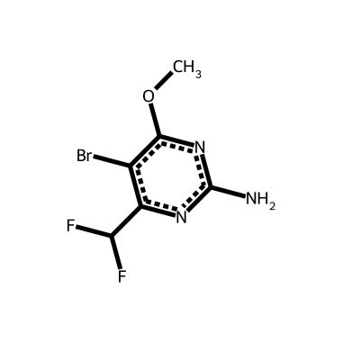 COc1nc(N)nc(C(F)F)c1Br